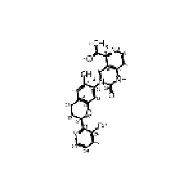 CC(=O)c1nccc2c1CN(c1cc3c(cc1C)CCC(c1ncccc1F)O3)C(=O)N2